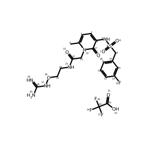 Cc1ccc(NS(=O)(=O)Cc2cccc(F)c2)c(=O)n1CC(=O)NCCONC(=N)N.O=C(O)C(F)(F)F